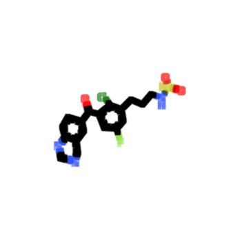 O=C(c1ccc2ncncc2c1)c1cc(F)cc(CCCN[SH](=O)=O)c1Cl